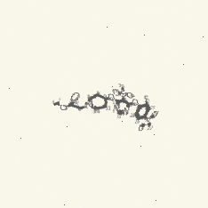 CCOC(=O)CN1CCC(Oc2ncnc(Oc3ccc(S(C)(=O)=O)cc3F)c2S(C)(=O)=O)CC1